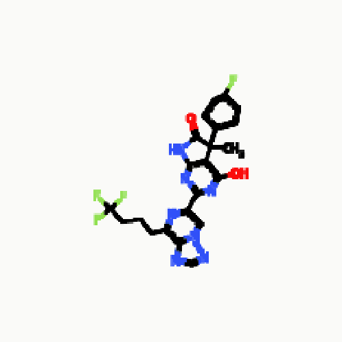 CC1(c2ccc(F)cc2)C(=O)Nc2nc(-c3cn4ncnc4c(CCCC(F)(F)F)n3)nc(O)c21